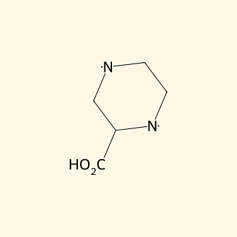 O=C(O)C1C[N]CC[N]1